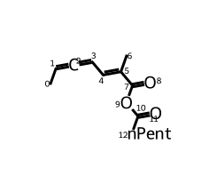 CC=C=CC=C(C)C(=O)OC(=O)CCCCC